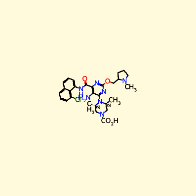 C[C@H]1CN(C(=O)O)C[C@H](C)N1c1nc(OCC2CCCN2C)nc(C(=O)Nc2cccc3cccc(Cl)c23)c1N